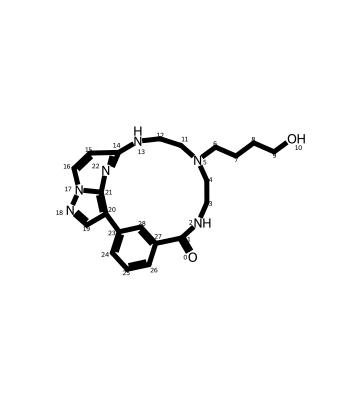 O=C1NCCN(CCCCO)CCNc2ccn3ncc(c3n2)-c2cccc1c2